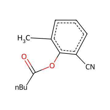 CCCCC(=O)Oc1c(C)cccc1C#N